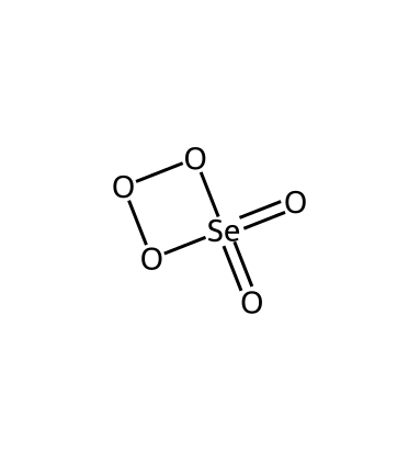 O=[Se]1(=O)OOO1